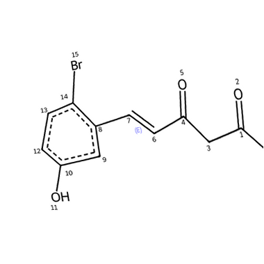 CC(=O)CC(=O)/C=C/c1cc(O)ccc1Br